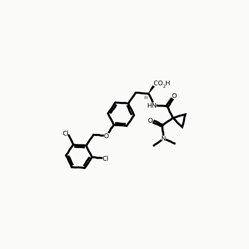 CN(C)C(=O)C1(C(=O)N[C@@H](Cc2ccc(OCc3c(Cl)cccc3Cl)cc2)C(=O)O)CC1